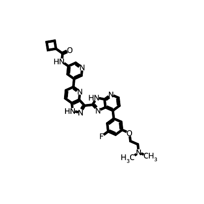 CN(C)CCOc1cc(F)cc(-c2ccnc3[nH]c(-c4n[nH]c5ccc(-c6cncc(NC(=O)C7CCC7)c6)nc45)nc23)c1